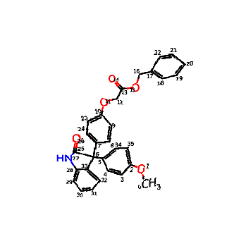 COc1ccc(C2(c3ccc(OCC(=O)OCc4ccccc4)cc3)C(=O)Nc3ccccc32)cc1